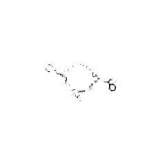 C[C@@H]1NC(=O)[C@H](CC(=O)O)NC(=O)CNC(=O)[C@H](CCCC[N+]2(C)CCOCC2)NC(=O)CCSSCCNC(=O)C2CC(OCc3c[nH]c4ccccc34)CN2C1=O